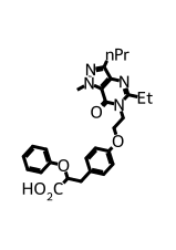 CCCc1nn(C)c2c(=O)n(CCOc3ccc(CC(Oc4ccccc4)C(=O)O)cc3)c(CC)nc12